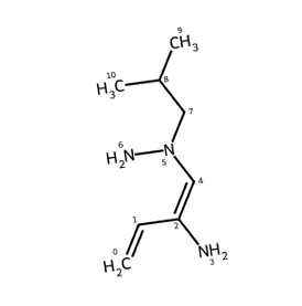 C=C/C(N)=C\N(N)CC(C)C